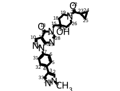 Cn1cc(-c2ccc(-n3ncc4c(=O)n(CC5(O)CCN(C(=O)C6CC6)CC5)cnc43)cc2)cn1